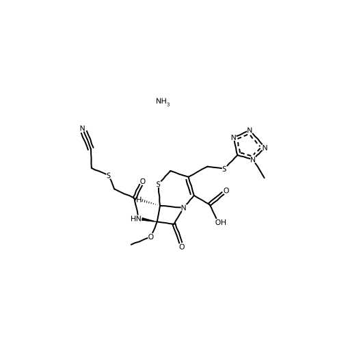 CO[C@@]1(NC(=O)CSCC#N)C(=O)N2C(C(=O)O)=C(CSc3nnnn3C)CS[C@@H]21.N